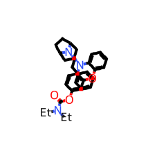 CCN(CC)C(=O)Oc1ccc2c(c1)Oc1ccccc1N2C1CC2CCC(C1)N2CCc1ccccc1